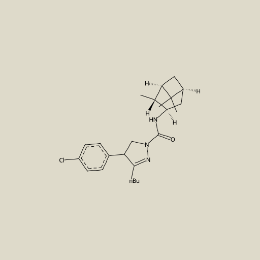 CCCCC1=NN(C(=O)N[C@@H]2C[C@@H]3C[C@H]([C@H]2C)C3(C)C)CC1c1ccc(Cl)cc1